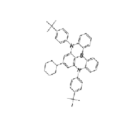 CC(C)(C)c1ccc(N2c3ccccc3B3c4ccccc4N(c4ccc(C(C)(C)C)cc4)c4cc(C5CCCCC5)cc2c43)cc1